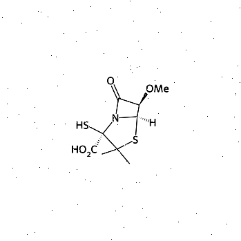 CO[C@@H]1C(=O)N2[C@@H]1SC(C)(C)[C@]2(S)C(=O)O